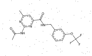 CC(=O)Nc1nc(C)cc(C(=O)NCc2cccc(OC(F)(F)I)c2)n1